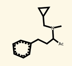 CC(=O)C(CCc1ccccc1)N(C)CC1CC1